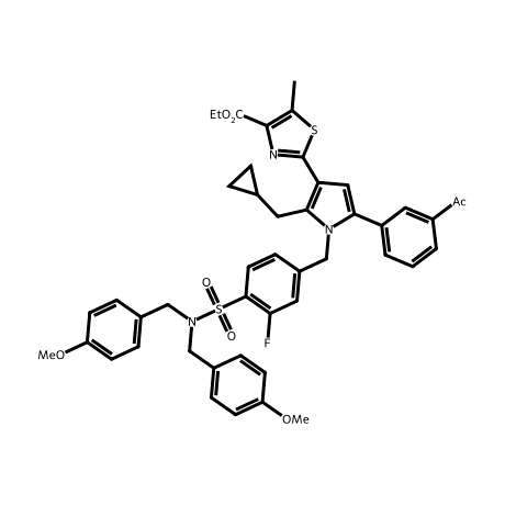 CCOC(=O)c1nc(-c2cc(-c3cccc(C(C)=O)c3)n(Cc3ccc(S(=O)(=O)N(Cc4ccc(OC)cc4)Cc4ccc(OC)cc4)c(F)c3)c2CC2CC2)sc1C